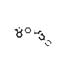 O=C(N[C@H]1CC[C@H](c2n[nH]c(=O)c3ccccc32)CC1)c1cnc2cc(N3CCOCC3)ccn12